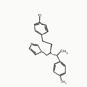 Cc1ccc(C(C)C(CCc2ccc(Cl)cc2)Cn2ccnc2)cc1